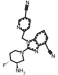 N#Cc1ccc(Cn2c(N3CC[C@@H](F)[C@H](N)C3)nc3c(C#N)cccc32)nc1